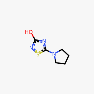 Oc1nsc(N2CCCC2)n1